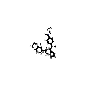 CO/N=C(\C)c1ccc(Nc2nc(-c3cnc4c(c3)NCCO4)cn3ccnc23)cc1